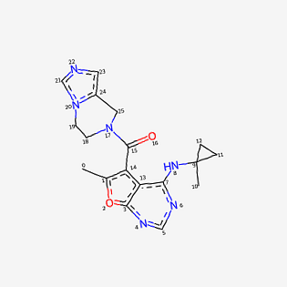 Cc1oc2ncnc(NC3(C)CC3)c2c1C(=O)N1CCn2cncc2C1